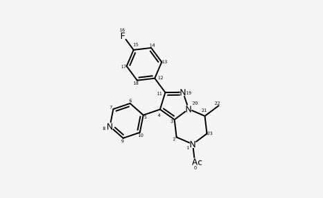 CC(=O)N1Cc2c(-c3ccncc3)c(-c3ccc(F)cc3)nn2C(C)C1